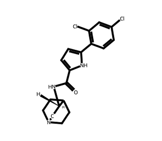 O=C(N[C@H]1CN2CCC1CC2)c1ccc(-c2ccc(Cl)cc2Cl)[nH]1